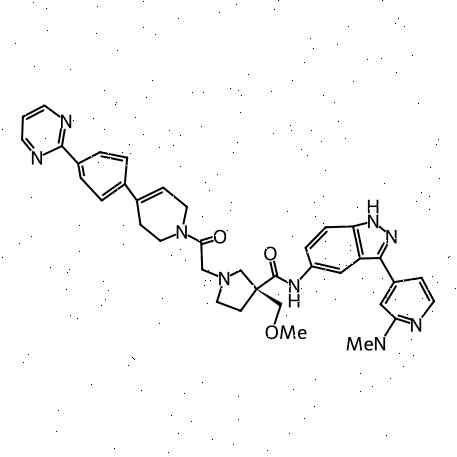 CNc1cc(-c2n[nH]c3ccc(NC(=O)[C@]4(COC)CCN(CC(=O)N5CC=C(c6ccc(-c7ncccn7)cc6)CC5)C4)cc23)ccn1